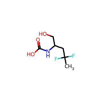 CC(F)(F)CC(CO)NC(=O)O